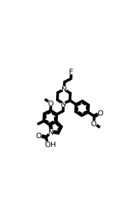 COC(=O)c1ccc(C2CN(CCF)CCN2Cc2c(OC)cc(C)c3c2ccn3C(=O)O)cc1